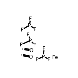 FP(F)F.FP(F)F.FP(F)F.[C]=O.[C]=O.[Fe]